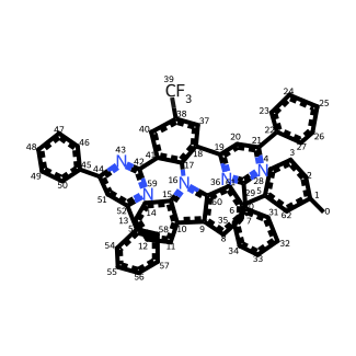 Cc1cccc(-c2ccc3c4ccccc4n(-c4c(-c5cc(-c6ccccc6)nc(-c6ccccc6)n5)cc(C(F)(F)F)cc4-c4nc(-c5ccccc5)cc(-c5ccccc5)n4)c3c2)c1